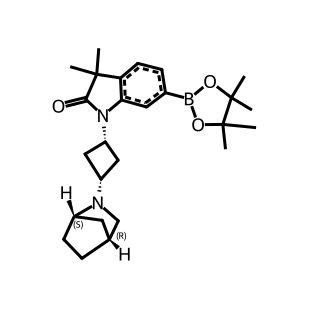 CC1(C)C(=O)N([C@H]2C[C@@H](N3C[C@@H]4CC[C@H]3C4)C2)c2cc(B3OC(C)(C)C(C)(C)O3)ccc21